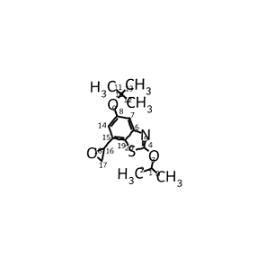 CC(C)Oc1nc2cc(OC(C)(C)C)cc(C3CO3)c2s1